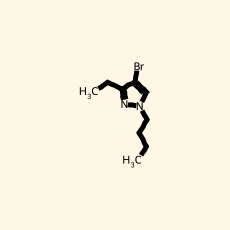 CCCCn1[c]c(Br)c(CC)n1